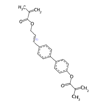 C=C(C)C(=O)OC/C=C/c1ccc(-c2ccc(OC(=O)C(=C)C)cc2)cc1